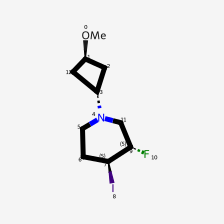 CO[C@H]1C[C@H](N2CC[C@H](I)[C@@H](F)C2)C1